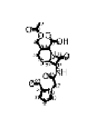 CC(=O)OCC1=C(C(=O)O)N2C(=O)C(NC(=O)Cn3cccc3C=O)C2SC1